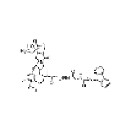 CC[C@@]1(O)C(=O)OCc2c1cc1n(c2=O)Cc2c-1nc1cc(F)c(C)c3c1c2C(NC(=O)COCNC(=O)CNC(=O)OCC1c2ccccc2-c2ccccc21)CC3